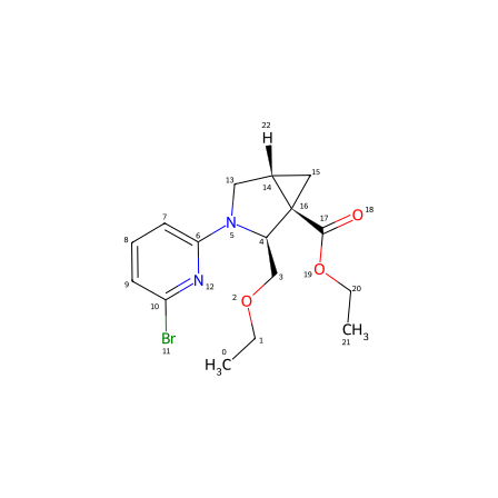 CCOC[C@H]1N(c2cccc(Br)n2)C[C@@H]2C[C@@]21C(=O)OCC